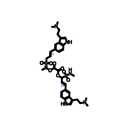 CNS(=O)(=O)C(/C=C/c1ccc2[nH]cc(CCN(C)C)c2c1)OC(=O)C(=O)ON(C)S(=O)(=O)C/C=C/c1ccc2[nH]cc(CCN(C)C)c2c1